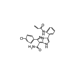 C=CC(=O)Nc1ccccc1-c1c[nH]c2c(C(N)=O)c(-c3ccc(Cl)cc3)nn12